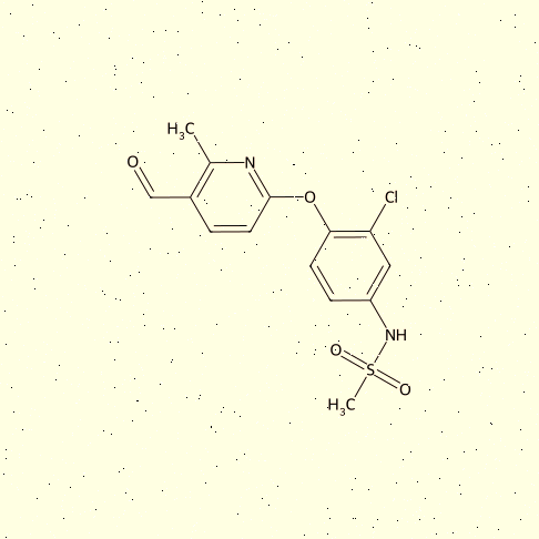 Cc1nc(Oc2ccc(NS(C)(=O)=O)cc2Cl)ccc1C=O